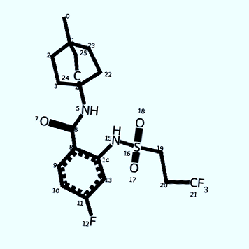 CC12CCC(NC(=O)c3ccc(F)cc3NS(=O)(=O)CCC(F)(F)F)(CC1)CC2